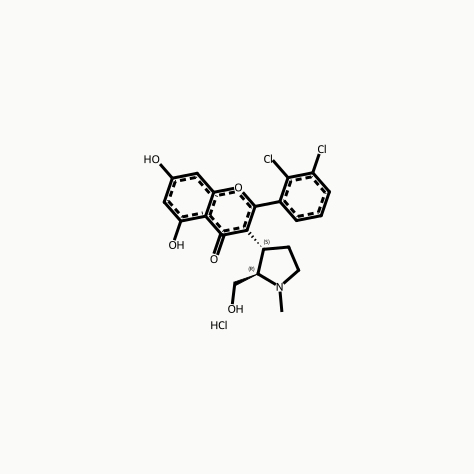 CN1CC[C@@H](c2c(-c3cccc(Cl)c3Cl)oc3cc(O)cc(O)c3c2=O)[C@@H]1CO.Cl